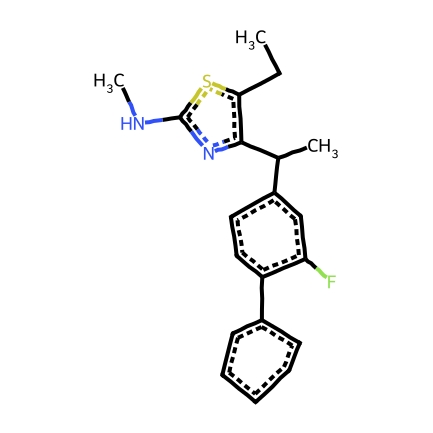 CCc1sc(NC)nc1C(C)c1ccc(-c2ccccc2)c(F)c1